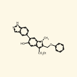 CCOC(=O)c1c(COc2ccccc2)n(C)c2cc(-c3ccc4[nH]ncc4c3)c(O)cc12